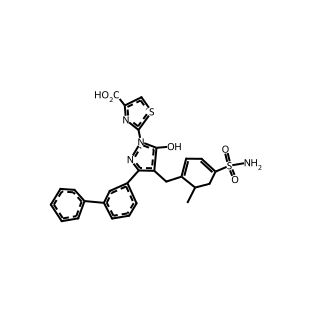 CC1CC(S(N)(=O)=O)=CC=C1Cc1c(-c2cccc(-c3ccccc3)c2)nn(-c2nc(C(=O)O)cs2)c1O